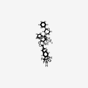 CC(=O)NC(C)(C)C(NC(=O)c1cc2cc(C(F)(F)P(=O)(O)O)ccc2s1)C(=O)N1CCC[C@H]1C(=O)N1CCO[C@H](c2ccccc2)C1